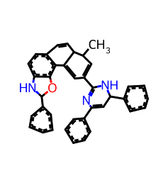 CC1C=C(C2=NC(c3ccccc3)=CC(c3ccccc3)N2)C=C2c3c(ccc4c3OC(c3ccccc3)N4)C=CC21